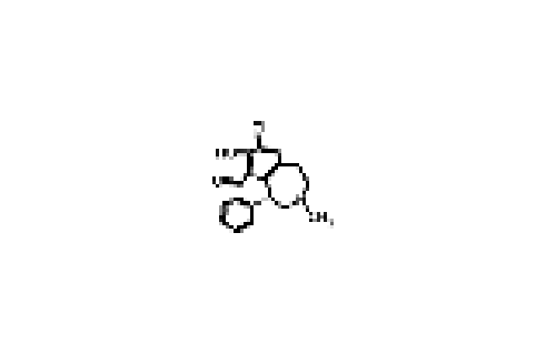 CN1CCc2cc(Cl)c(O)c(C=O)c2[C@@H](c2ccccc2)C1